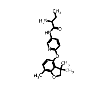 CCC(N)C(=O)Nc1ccc(Oc2ccc(C)c3c2C(C)(C)CO3)nc1